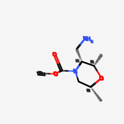 C[C@@H]1CN(C(=O)OC(C)(C)C)[C@H](CN)[C@H](C)O1